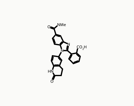 CNC(=O)c1ccc2c(c1)nc(-c1ccccc1C(=O)O)n2-c1ccc2c(c1)CCC(=O)N2